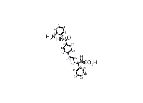 Nc1ccccc1NC(=O)c1ccc(/C=C/CC(NC(=O)O)c2cccnc2)cc1